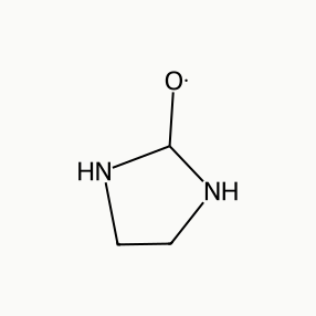 [O]C1NCCN1